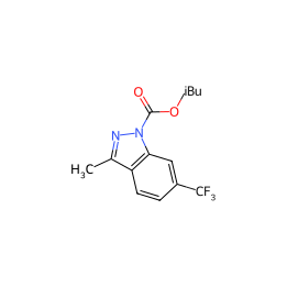 CCC(C)OC(=O)n1nc(C)c2ccc(C(F)(F)F)cc21